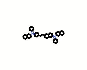 C(=C\c1ccc2cc(N(c3ccccc3)c3ccc4ccccc4c3)ccc2c1)/c1ccc(N(c2ccccc2)c2ccc3ccccc3c2)cc1